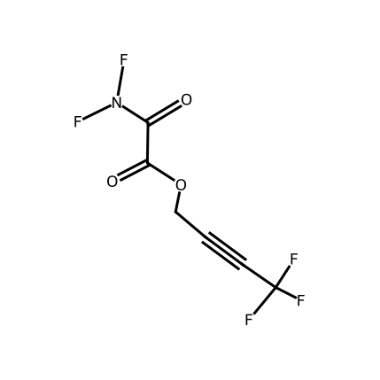 O=C(OCC#CC(F)(F)F)C(=O)N(F)F